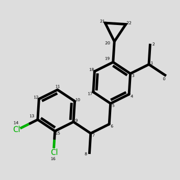 CC(C)c1cc(CC(C)c2cccc(Cl)c2Cl)ccc1C1CC1